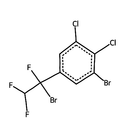 FC(F)C(F)(Br)c1cc(Cl)c(Cl)c(Br)c1